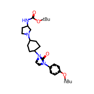 CCCCOc1ccc(-n2ccn(C3CCC(N4CCC(NC(=O)OC(C)(C)C)C4)CC3)c2=O)cc1